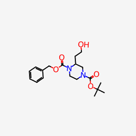 CC(C)(C)OC(=O)N1CCN(C(=O)OCc2ccccc2)C(CCO)C1